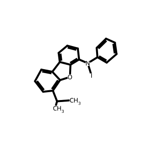 CC(C)c1cccc2c1oc1c(N(I)c3ccccc3)cccc12